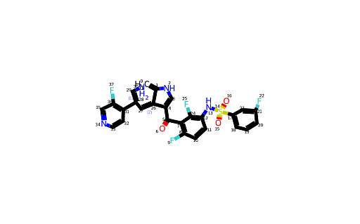 C=c1[nH]cc(C(=O)c2c(F)ccc(NS(=O)(=O)c3cccc(F)c3)c2F)/c1=C/C(=C\N)c1ccncc1F